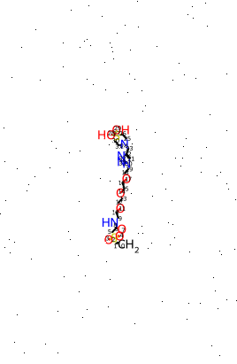 C=CS(=O)(=O)CC(=O)NCCOCCOCCOCCn1cc(CN2CCS(O)(O)CC2)nn1